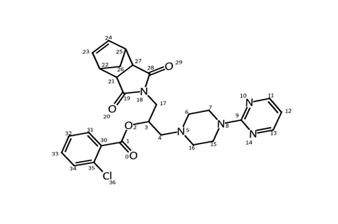 O=C(OC(CN1CCN(c2ncccn2)CC1)CN1C(=O)C2C3C=CC(C3)C2C1=O)c1ccccc1Cl